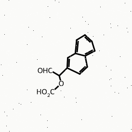 O=CC(OC(=O)O)c1ccc2ccccc2c1